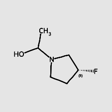 CC(O)N1CC[C@@H](F)C1